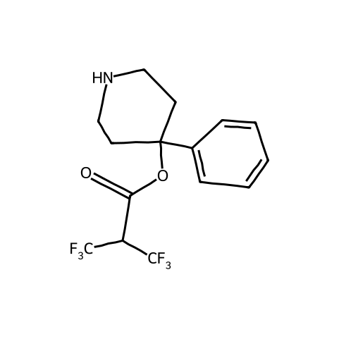 O=C(OC1(c2ccccc2)CCNCC1)C(C(F)(F)F)C(F)(F)F